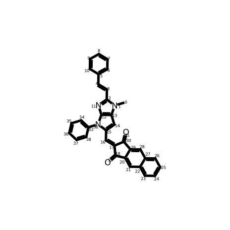 Cn1c(/C=C/c2ccccc2)nc2c1cc(C=C1C(=O)c3cc4ccccc4cc3C1=O)n2-c1ccccc1